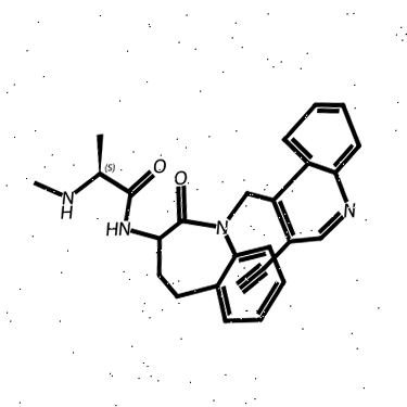 C#Cc1cnc2ccccc2c1CN1C(=O)C(NC(=O)[C@H](C)NC)CCc2ccccc21